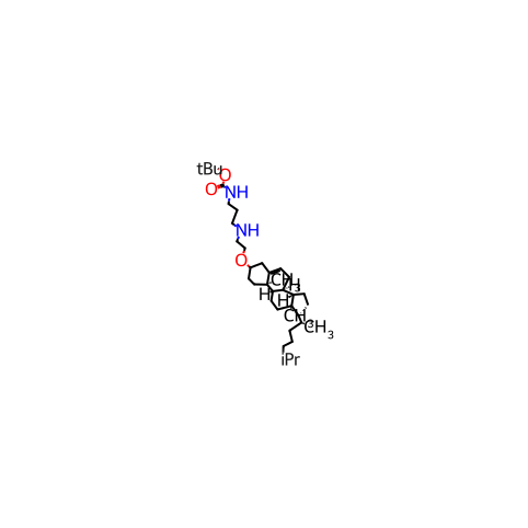 CC(C)CCC[C@@H](C)[C@H]1CC[C@H]2[C@@H]3CC=C4CC(OCCNCCCNC(=O)OC(C)(C)C)CC[C@]4(C)[C@H]3CC[C@]12C